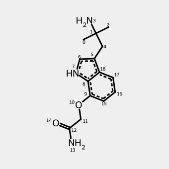 CC(C)(N)Cc1c[nH]c2c(OCC(N)=O)cccc12